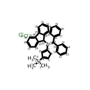 C[Si](C)(C)C1=CC[C]([Zr+2](=[C](c2ccccc2)c2ccccc2)[CH]2c3ccccc3-c3ccccc32)=C1.[Cl-].[Cl-]